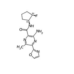 Cc1nc(C(=O)N[C@H]2CCC[C@H]2F)c(N)nc1-c1ncco1